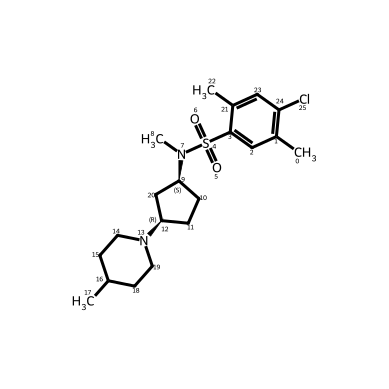 Cc1cc(S(=O)(=O)N(C)[C@H]2CC[C@@H](N3CCC(C)CC3)C2)c(C)cc1Cl